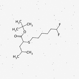 CC(C)CC(SCCCCCC(F)F)C(=O)OC(C)(C)C